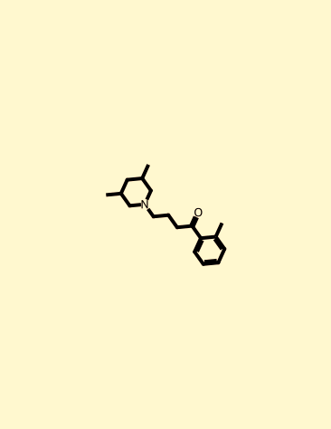 Cc1ccccc1C(=O)CCCN1CC(C)CC(C)C1